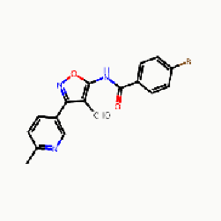 Cc1ccc(-c2noc(NC(=O)c3ccc(Br)cc3)c2C=O)cn1